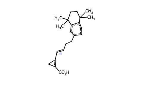 CC1(C)CCC(C)(C)c2cc(CC/C=C/C3=C(C(=O)O)C3)ccc21